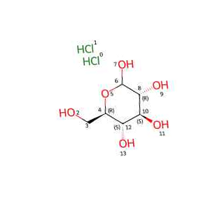 Cl.Cl.OC[C@H]1OC(O)[C@H](O)[C@@H](O)[C@@H]1O